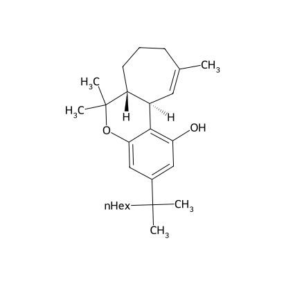 CCCCCCC(C)(C)c1cc(O)c2c(c1)OC(C)(C)[C@@H]1CCCC(C)=C[C@@H]21